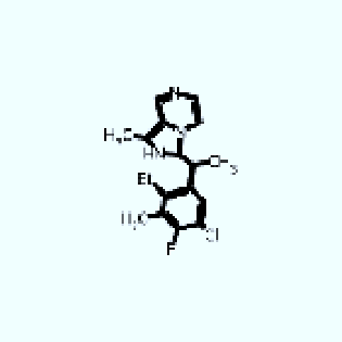 CCc1c(C(C)C2NC(C)=C3C=NC=CN32)cc(Cl)c(F)c1C